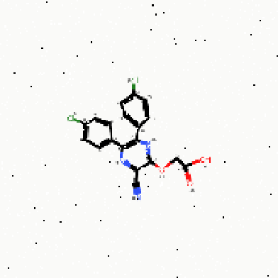 N#Cc1nc(-c2ccc(Cl)cc2)c(-c2ccc(Cl)cc2)nc1OCC(=O)O